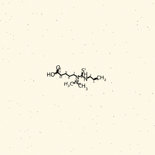 C=CCNC(=S)N(CCCCC(=O)O)N(C)C